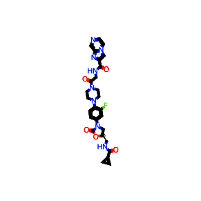 O=C(NCC(=O)N1CCN(c2ccc(N3C[C@H](CNC(=O)C4CC4)OC3=O)cc2F)CC1)c1cn2ccncc2n1